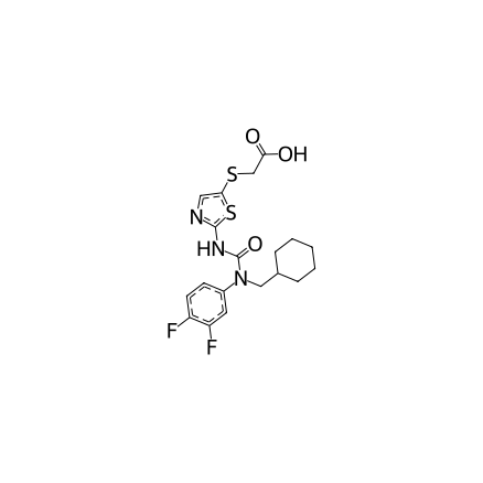 O=C(O)CSc1cnc(NC(=O)N(CC2CCCCC2)c2ccc(F)c(F)c2)s1